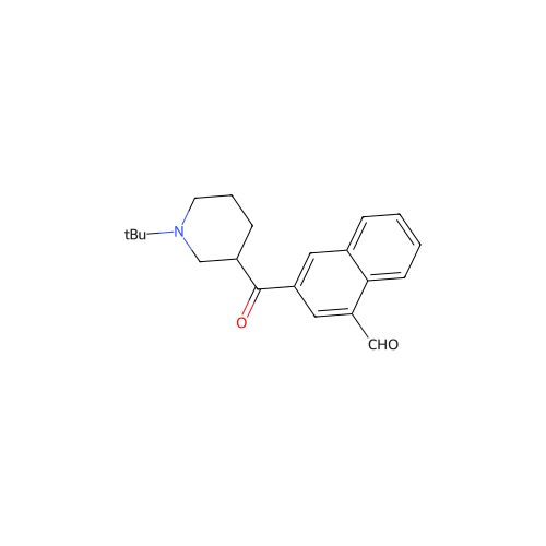 CC(C)(C)N1CCCC(C(=O)c2cc(C=O)c3ccccc3c2)C1